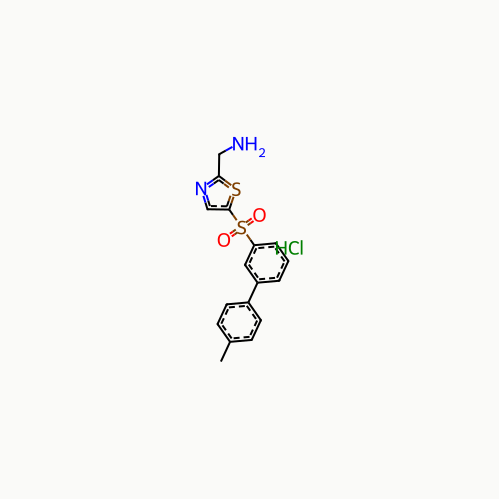 Cc1ccc(-c2cccc(S(=O)(=O)c3cnc(CN)s3)c2)cc1.Cl